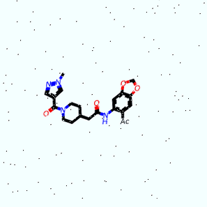 CC(=O)c1cc2c(cc1NC(=O)CC1CCN(C(=O)c3cnn(C)c3)CC1)OCO2